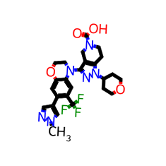 Cn1cc(-c2cc3c(cc2C(F)(F)F)N(c2nn(C4CCOCC4)c4c2CN(C(=O)O)CC4)CCO3)cn1